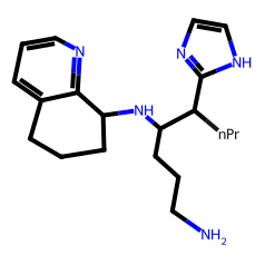 CCCC(c1ncc[nH]1)C(CCCN)NC1CCCc2cccnc21